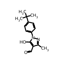 Cc1nn(-c2ccc(C(C)(C)C)cc2)c(O)c1C=O